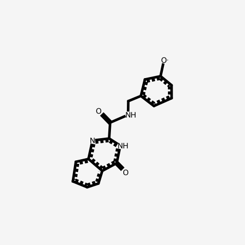 [O]c1cccc(CNC(=O)c2nc3ccccc3c(=O)[nH]2)c1